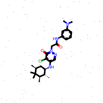 C[C@@H]1[C@@H](C)C(C)(C)[C@@H](C)C[C@H]1Nc1cnn(CC(=O)Nc2cccc(N(C)C)c2)c(=O)c1Cl